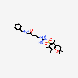 Cc1c(C)c(S(=O)(=O)NC(=N)NCCCC(=O)CNCc2ccccc2)c(C)c2c1OC(C)(C)CC2